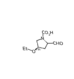 CCO[C@@H]1CC(C=O)N(C(=O)O)C1